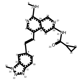 CNc1ncc(C=Cc2ccc3nnn(C)c3c2)c2cc(NC(=O)C3CC3)ncc12